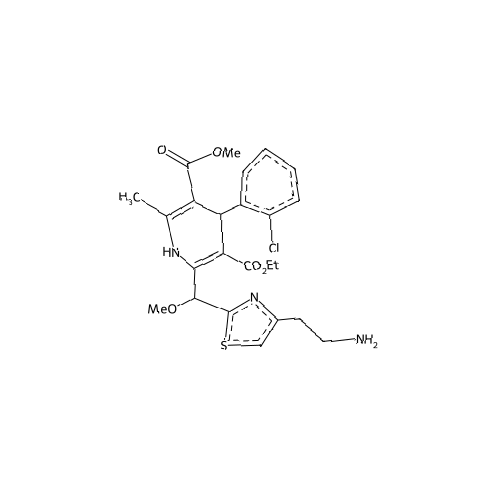 CCOC(=O)C1=C(C(OC)c2nc(CCN)cs2)NC(C)=C(C(=O)OC)C1c1ccccc1Cl